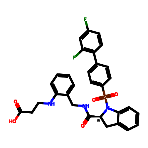 O=C(O)CCNc1ccccc1CNC(=O)[C@@H]1Cc2ccccc2N1S(=O)(=O)c1ccc(-c2ccc(F)cc2F)cc1